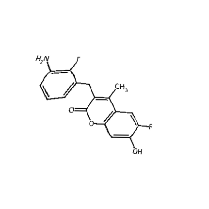 Cc1c(Cc2cccc(N)c2F)c(=O)oc2cc(O)c(F)cc12